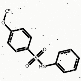 O=S(=O)(Nc1ccccc1)c1ccc(OC(F)(F)F)cc1